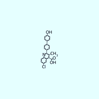 Cc1c(-c2ccc(-c3ccc(O)cc3)cc2)nc2ccc(Cl)cc2c1C(=O)O